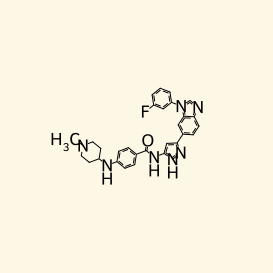 CN1CCC(Nc2ccc(C(=O)Nc3cc(-c4ccc5ncn(-c6cccc(F)c6)c5c4)n[nH]3)cc2)CC1